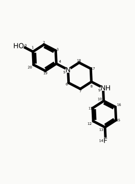 Oc1ccc(N2CCC(Nc3ccc(F)cc3)CC2)cc1